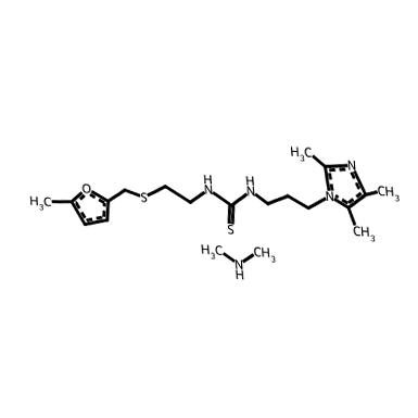 CNC.Cc1ccc(CSCCNC(=S)NCCCn2c(C)nc(C)c2C)o1